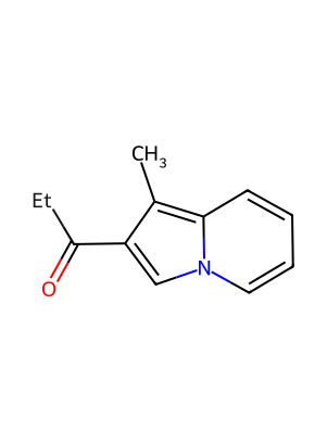 CCC(=O)c1cn2ccccc2c1C